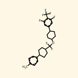 Cc1ccc(C2CCC(C(F)(F)OC3CCC(c4cc(F)c(C(F)(F)F)c(F)c4)CC3)CC2)cc1